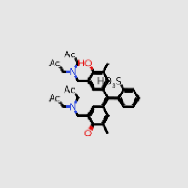 CC(=O)CN(CC(C)=O)CC1=C/C(=C(\c2cc(C)c(O)c(CN(CC(C)=O)CC(C)=O)c2)c2ccccc2S(=O)(=O)O)C=C(C)C1=O